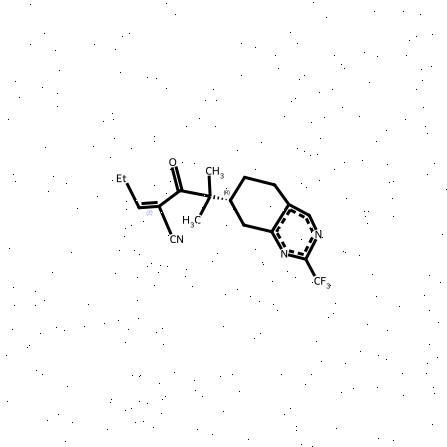 CC/C=C(/C#N)C(=O)C(C)(C)[C@@H]1CCc2cnc(C(F)(F)F)nc2C1